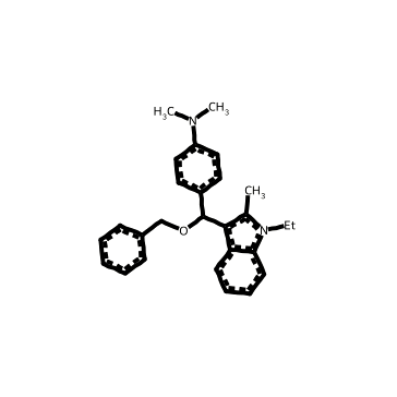 CCn1c(C)c(C(OCc2ccccc2)c2ccc(N(C)C)cc2)c2ccccc21